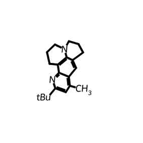 Cc1cc(C(C)(C)C)nc2c3c4c(cc12)CCCN4CCC3